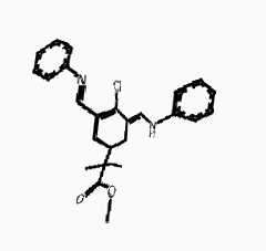 COC(=O)C(C)(C)C1CC(/C=N/c2ccccc2)=C(Cl)C(=C/Nc2ccccc2)/C1